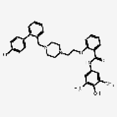 Cc1cc(NC(=O)c2ccccc2OCCN2CCN(Cc3ccccc3-c3ccc(Cl)cc3)CC2)cc(C)c1O